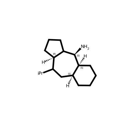 CC(C)C1C[C@@H]2CCCC[C@@H]2[C@H](N)C2CCC[C@H]12